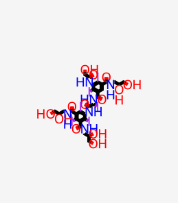 O=C(CO)Nc1c(I)c(C(=O)NCC(O)CO)cc(C(=O)NC(I)C(=O)Nc2c(I)c(C(=O)NCC(O)CO)c(I)c(C(=O)NCC(O)CO)c2I)c1I